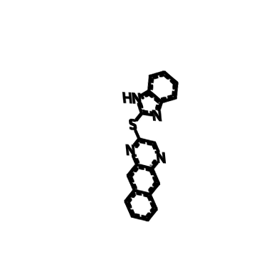 c1ccc2cc3nc(Sc4nc5ccccc5[nH]4)cnc3cc2c1